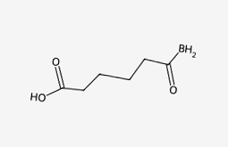 BC(=O)CCCCC(=O)O